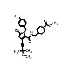 COC(=O)C1CCC(CNC(=O)c2c(C#CC(C)(C)OC)nc(Cl)n2Cc2ccc(C)cc2)CC1